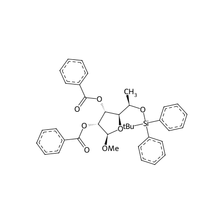 CO[C@@H]1O[C@H]([C@@H](C)O[Si](c2ccccc2)(c2ccccc2)C(C)(C)C)[C@@H](OC(=O)c2ccccc2)[C@H]1OC(=O)c1ccccc1